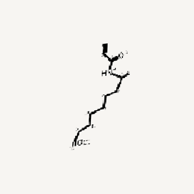 C=CC(=O)NC(C)CCCCCCCCCCCCCC